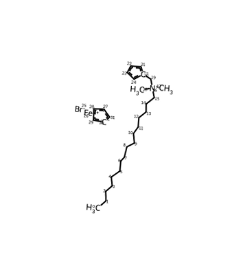 CCCCCCCCCCCCCCCC[N+](C)(C)C[c-]1cccc1.[Br-].[Fe+2].c1cc[cH-]c1